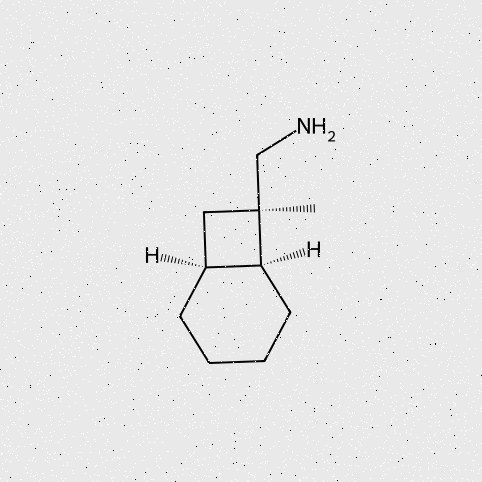 C[C@@]1(CN)C[C@@H]2CCCC[C@@H]21